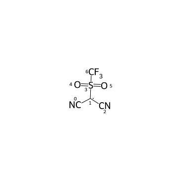 N#C[C](C#N)S(=O)(=O)C(F)(F)F